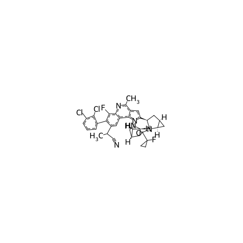 Cc1nc2c(F)c(-c3cccc(Cl)c3Cl)c(C(C)C#N)cc2c2c1cc([C@H]1C[C@H]3C[C@H]3N1C(=O)C1(F)CC1)n2[C@H]1[C@H]2CN[C@@H]1C2